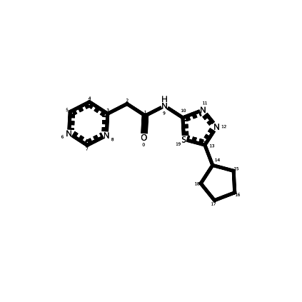 O=C(Cc1ccncn1)Nc1nnc(C2CCCC2)s1